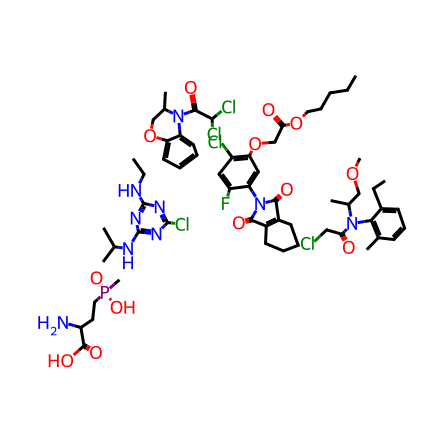 CC1COc2ccccc2N1C(=O)C(Cl)Cl.CCCCCOC(=O)COc1cc(N2C(=O)C3=C(CCCC3)C2=O)c(F)cc1Cl.CCNc1nc(Cl)nc(NC(C)C)n1.CCc1cccc(C)c1N(C(=O)CCl)C(C)COC.CP(=O)(O)CCC(N)C(=O)O